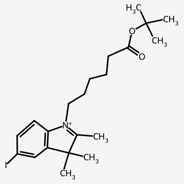 CC1=[N+](CCCCCC(=O)OC(C)(C)C)c2ccc(I)cc2C1(C)C